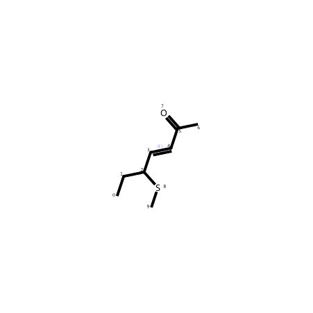 CCC(/C=C/C(C)=O)SC